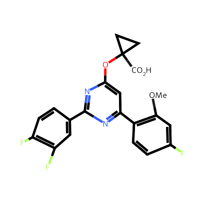 COc1cc(F)ccc1-c1cc(OC2(C(=O)O)CC2)nc(-c2ccc(F)c(F)c2)n1